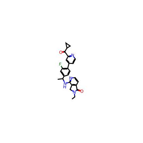 CCN1Cc2c(ccnc2NC(C)c2ccc(-c3ccnc(C(=O)C4CC4)c3)c(F)c2)C1=O